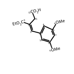 CCOC(=O)C(=Cc1cc(OC)cc(OC)c1)CC(=O)O